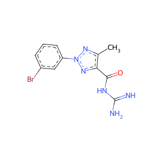 Cc1nn(-c2cccc(Br)c2)nc1C(=O)NC(=N)N